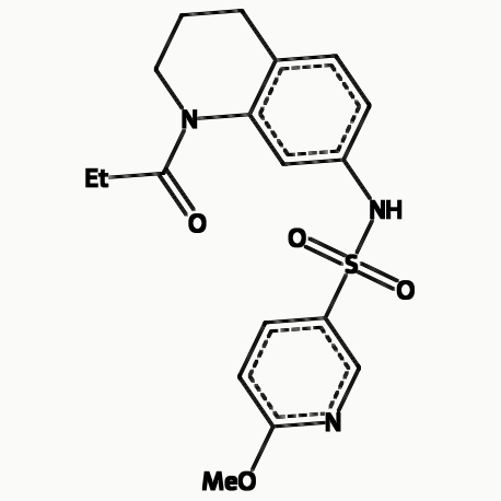 CCC(=O)N1CCCc2ccc(NS(=O)(=O)c3ccc(OC)nc3)cc21